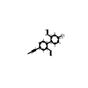 C=Cc1cc(C#CC)ccc1-c1ccc(CC)cc1C=C